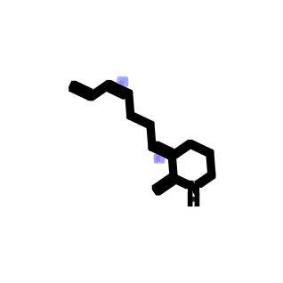 C=C/C=C\CC/C=C1\CCCNC1=C